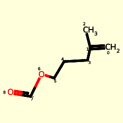 C=C(C)CCCO[C]=O